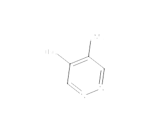 CSc1cnncc1C(C)(C)C